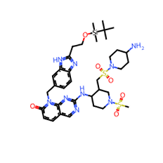 CC(C)(C)[Si](C)(C)OCCc1nc2ccc(Cn3c(=O)ccc4cnc(NC5CCN(S(C)(=O)=O)CC5CS(=O)(=O)N5CCC(N)CC5)nc43)cc2[nH]1